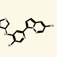 N#Cc1cnn2c(-c3cc(N[C@H]4CCOC4)c(Br)cn3)ccc2c1